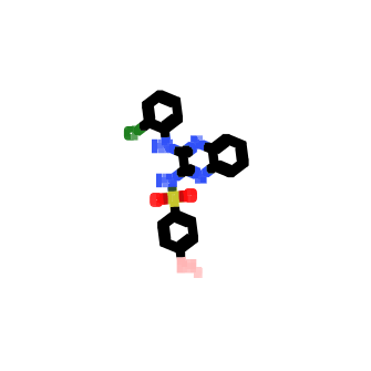 Bc1ccc(S(=O)(=O)Nc2nc3ccccc3nc2Nc2ccccc2Cl)cc1